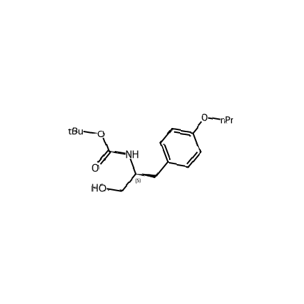 CCCOc1ccc(C[C@@H](CO)NC(=O)OC(C)(C)C)cc1